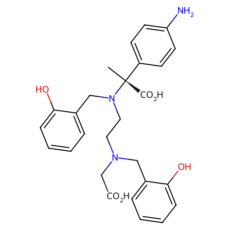 C[C@](C(=O)O)(c1ccc(N)cc1)N(CCN(CC(=O)O)Cc1ccccc1O)Cc1ccccc1O